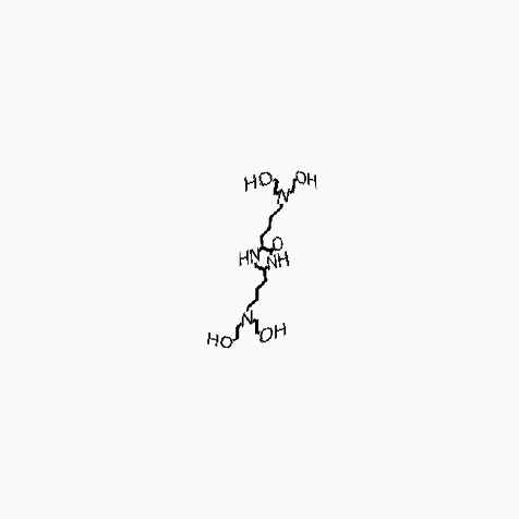 O=C1NC(CCCCN(CCO)CCO)CNC1CCCCN(CCO)CCO